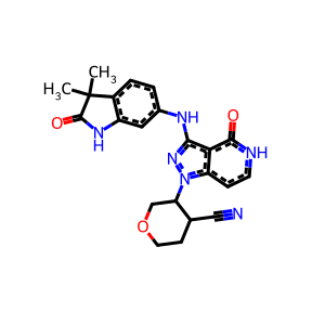 CC1(C)C(=O)Nc2cc(Nc3nn(C4COCCC4C#N)c4cc[nH]c(=O)c34)ccc21